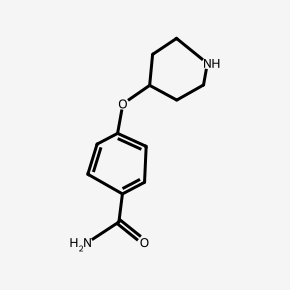 NC(=O)c1ccc(OC2CCNCC2)cc1